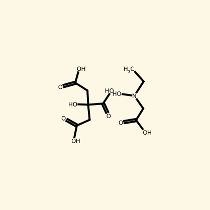 CCN(O)CC(=O)O.O=C(O)CC(O)(CC(=O)O)C(=O)O